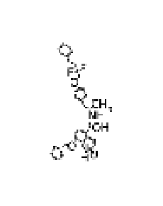 C[C@H](Cc1ccc(OCC(F)(F)CCc2ccccc2)cc1)NC[C@H](O)c1ccc(OCc2ccccc2)c2[nH]c(=O)ccc12